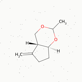 C=C1CC[C@@H]2OC(C)OC[C@@H]12